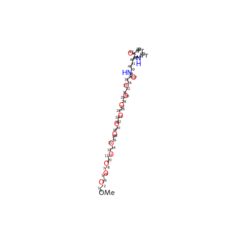 COCCOCCOCCOCCOCCOCCOCCOCCOCCOCCOCCOCCC(=O)NCCCC[C@H](NC(C)C)C(=O)C(C)C